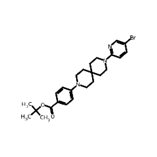 CC(C)(C)OC(=O)c1ccc(N2CCC3(CC2)CCN(c2ccc(Br)cn2)CC3)cc1